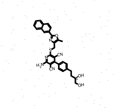 Cc1oc(-c2ccc3ccccc3c2)nc1CSc1nc(N)c(C#N)c(-c2ccc(CC[C@@H](O)CO)cc2)c1C#N